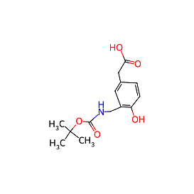 CC(C)(C)OC(=O)NCc1cc(CC(=O)O)ccc1O